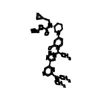 CC(n1cc(-c2cncc(N(C)C)n2)nn1)n1ccc(N2CCC[C@@H](N(CC3CC3)C(=O)OC(C)(C)C)C2)cc1=O